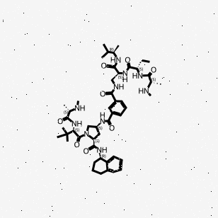 CC[C@H](NC(=O)[C@H](C)NC)C(=O)N[C@@H](CNC(=O)c1cccc(C(=O)N[C@H]2C[C@@H](C(=O)N[C@@H]3CCCc4ccccc43)N(C(=O)[C@@H](NC(=O)[C@H](C)NC)C(C)(C)C)C2)c1)C(=O)N[C@H](C)C(C)C